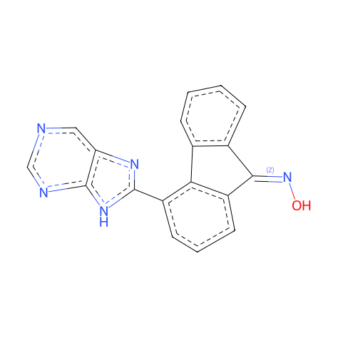 O/N=C1/c2ccccc2-c2c1cccc2-c1nc2cncnc2[nH]1